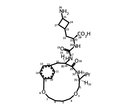 CC(C)[C@H]1COCCCCOc2ccc(cc2)C[C@@H](NC(=O)N[C@@H](CC2CC(N)C2)C(=O)O)C(=O)N1